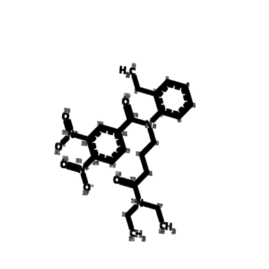 CCc1ccccc1N(CCCC(=O)N(CC)CC)C(=O)c1ccc([N+](=O)[O-])c([N+](=O)[O-])c1